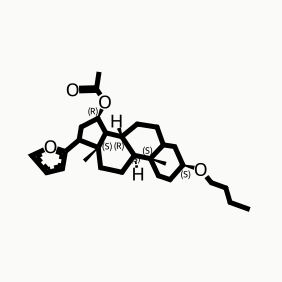 CCCCO[C@H]1CC[C@@]2(C)C(CC[C@H]3C4[C@H](OC(C)=O)CC(c5ccco5)[C@@]4(C)CC[C@@H]32)C1